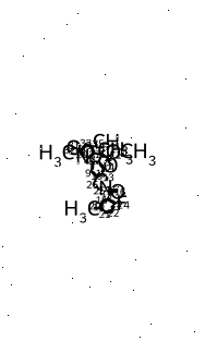 CCOC(=O)C(C)(c1ccc2c(c1)CN(C(=O)c1cc(C)ccc1F)CC2)c1cnc(OC)cc1C